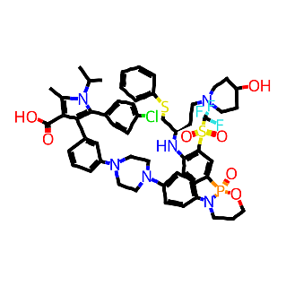 Cc1c(C(=O)O)c(-c2cccc(N3CCN(c4ccc(N5CCCOP5(=O)c5ccc(N[C@H](CCN6CCC(O)CC6)CSc6ccccc6)c(S(=O)(=O)C(F)(F)F)c5)cc4)CC3)c2)c(-c2ccc(Cl)cc2)n1C(C)C